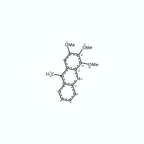 COc1cc2c(C)c3ccccc3nc2c(OC)c1OC